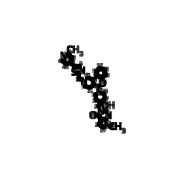 Cc1cc(-c2cnc(CN3CC[C@@H](C(=O)N4CCC(O)(Cn5cnc6c(ccn6C)c5=O)CC4)[C@H](c4ccccc4)C3)s2)ccn1